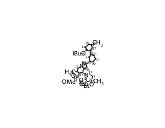 CCOC1(C)CCN(c2c([C@H](OC(C)(C)C)C(=O)OC)c(C)cn3nc(-c4cccc(-c5cc(C)ccc5OCC(C)C)c4)cc23)CC1